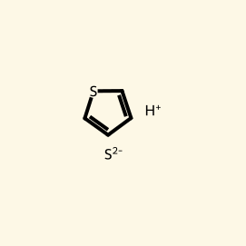 [H+].[S-2].c1ccsc1